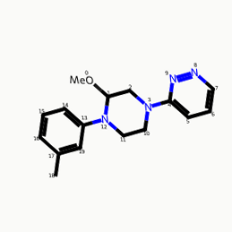 COC1CN(c2cccnn2)CCN1c1cccc(C)c1